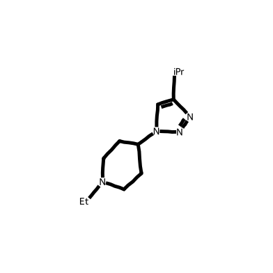 CCN1CCC(n2cc(C(C)C)nn2)CC1